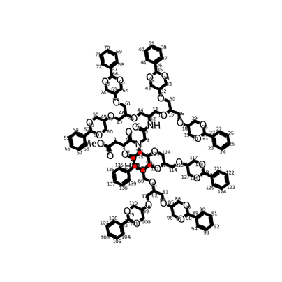 COC(=O)CCC(=O)N(CC(=O)NC(COC(COC1COC(c2ccccc2)OC1)COC1COC(c2ccccc2)OC1)COC(COC1COC(c2ccccc2)OC1)COC1COC(c2ccccc2)OC1)CC(=O)NC(COC(COC1COC(c2ccccc2)OC1)COC1COC(c2ccccc2)OC1)COC(COC1COC(c2ccccc2)OC1)COC1COC(c2ccccc2)OC1